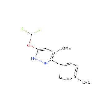 COC1=C(c2ccc(C=O)cc2)NNC(OC(F)F)=C1